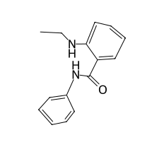 CCNc1ccccc1C(=O)Nc1ccccc1